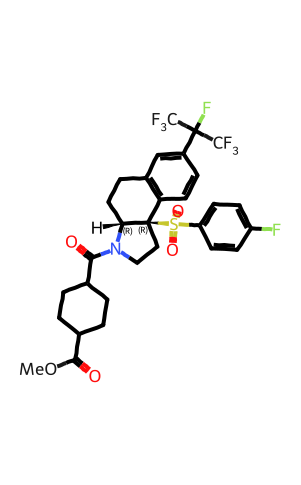 COC(=O)C1CCC(C(=O)N2CC[C@@]3(S(=O)(=O)c4ccc(F)cc4)c4ccc(C(F)(C(F)(F)F)C(F)(F)F)cc4CC[C@@H]23)CC1